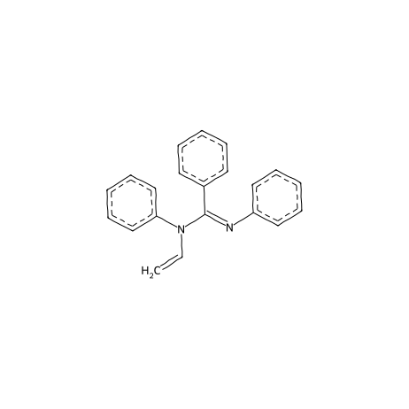 C=CN(/C(=N/c1ccccc1)c1ccccc1)c1ccccc1